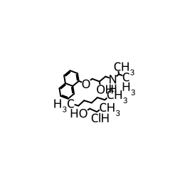 CC(C)NCC(O)COc1cccc2ccccc12.CCCCCCC.CCCO.Cl